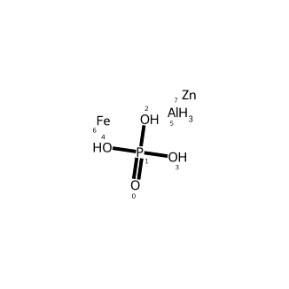 O=P(O)(O)O.[AlH3].[Fe].[Zn]